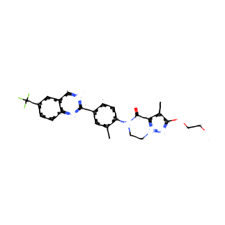 Cc1cc(-c2ncc3cc(C(F)(F)F)ccc3n2)ccc1N1CCn2nc(OCCO)c(C)c2C1=O